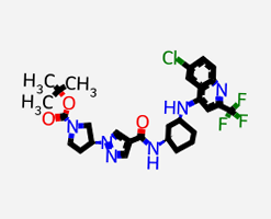 CC(C)(C)OC(=O)N1CC[C@H](n2cc(C(=O)N[C@@H]3CCC[C@H](Nc4cc(C(F)(F)F)nc5ccc(Cl)cc45)C3)cn2)C1